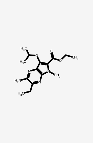 CCOC(=O)c1c(OC(C)C)c2nc(N)c(CC)nc2n1C